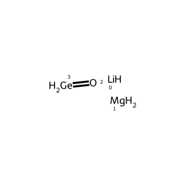 [LiH].[MgH2].[O]=[GeH2]